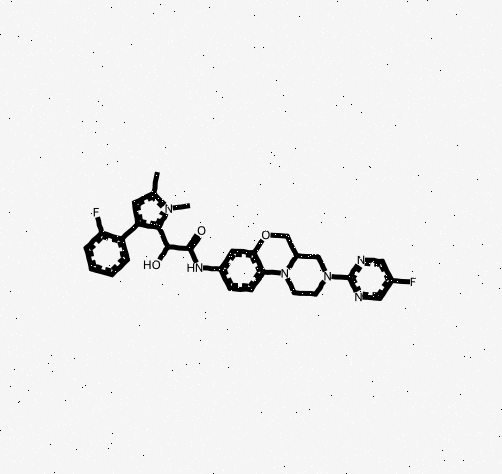 Cc1cc(-c2ccccc2F)c(C(O)C(=O)Nc2ccc3c(c2)OCC2CN(c4ncc(F)cn4)CCN32)n1C